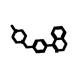 CN1CCN(Cc2ccc(C3=NCCc4ccccc43)cc2)CC1